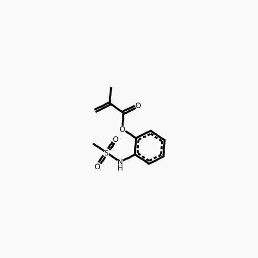 C=C(C)C(=O)Oc1ccccc1NS(C)(=O)=O